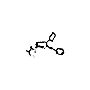 CC(N)C(=O)Nc1ccc(C2CCCC2)c(C#Cc2ccccc2)n1